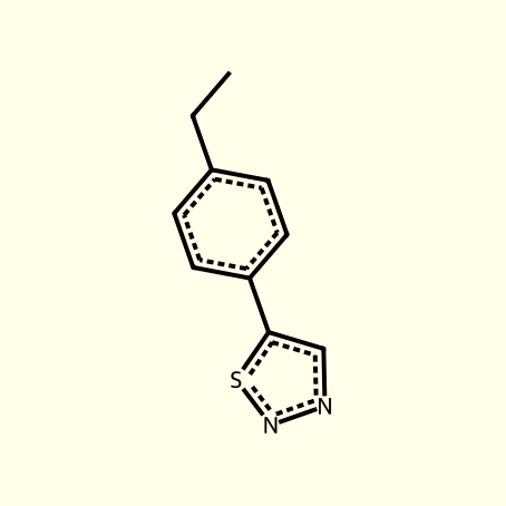 CCc1ccc(-c2cnns2)cc1